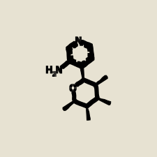 C[C@H]1[C@@H](C)[C@@H](C)O[C@@H](c2ccncc2N)[C@H]1C